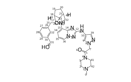 CN1CCN(C(=O)Cn2cc(Nc3nc4c(N5C[C@H]6CC[C@@H](C5)[C@H]6OCc5cccc(CO)c5)cccn4n3)cn2)CC1